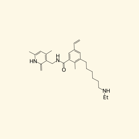 C=Cc1cc(CCCCCCNCC)c(C)c(C(=O)NCC2=C(C)C=C(C)NC2=C)c1